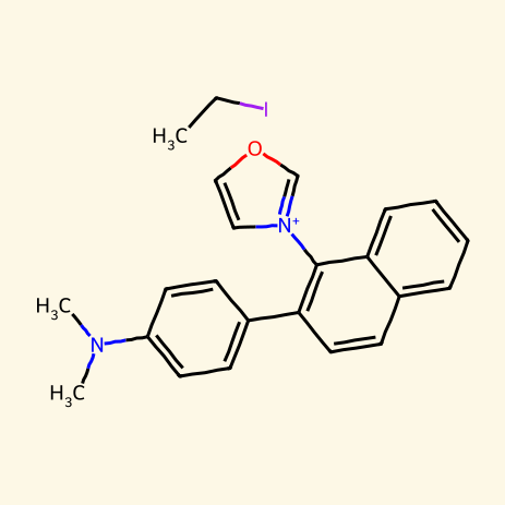 CCI.CN(C)c1ccc(-c2ccc3ccccc3c2-[n+]2ccoc2)cc1